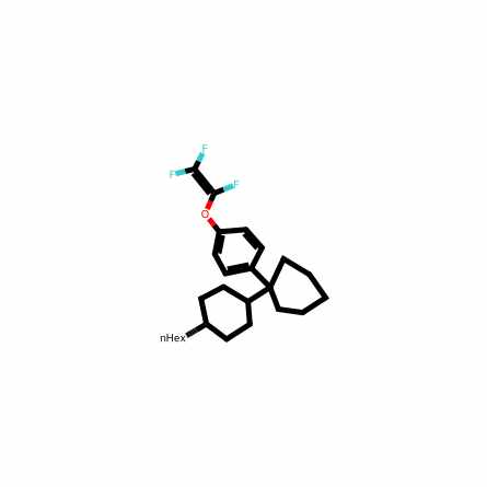 CCCCCCC1CCC(C2(c3ccc(OC(F)=C(F)F)cc3)CCCCC2)CC1